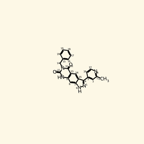 Cc1cc(-c2n[nH]c3cc4[nH]c(=O)n(Cc5ccccc5)c(=O)c4cc23)ccn1